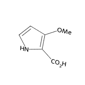 COc1cc[nH]c1C(=O)O